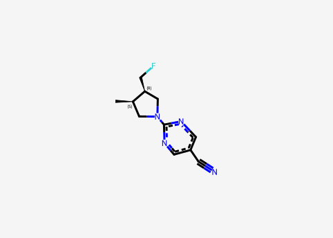 C[C@@H]1CN(c2ncc(C#N)cn2)C[C@@H]1CF